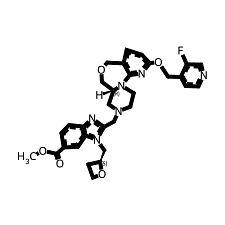 COC(=O)c1ccc2nc(CN3CCN4c5nc(OCc6ccncc6F)ccc5COC[C@H]4C3)n(C[C@@H]3CCO3)c2c1